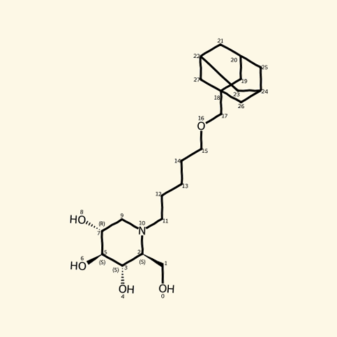 OC[C@H]1[C@H](O)[C@@H](O)[C@H](O)CN1CCCCCOCC12CC3CC(CC(C3)C1)C2